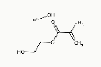 C=C(C)C(=O)OCCO.CCCO